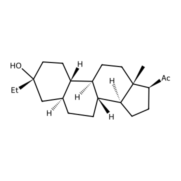 CC[C@@]1(O)CC[C@H]2[C@@H](CC[C@@H]3[C@@H]2CC[C@]2(C)[C@@H](C(C)=O)CC[C@@H]32)C1